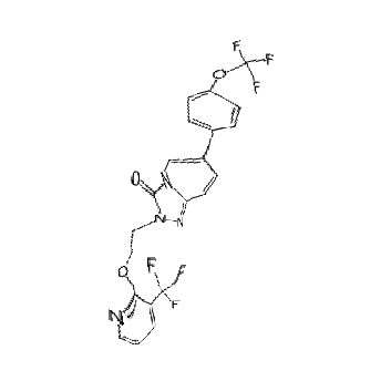 O=c1n(CCOc2ncccc2C(F)(F)F)nc2ccc(-c3ccc(OC(F)(F)F)cc3)cn12